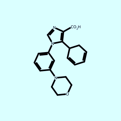 O=C(O)c1ncn(-c2cccc(N3CCOCC3)c2)c1C1C=CC=CC1